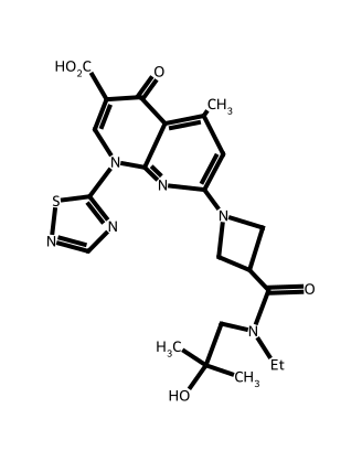 CCN(CC(C)(C)O)C(=O)C1CN(c2cc(C)c3c(=O)c(C(=O)O)cn(-c4ncns4)c3n2)C1